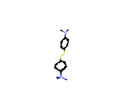 CN(C)c1ccc(SSc2ccc(N(C)C)cc2)cc1